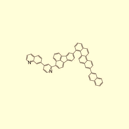 c1ccc2cc(-c3ccc4c(ccc5c4ccc4cccc(-c6ccc7c(c6)-c6cccc8c(-c9cc(-c%10ccc%11cccnc%11c%10)ccn9)ccc-7c68)c45)c3)ccc2c1